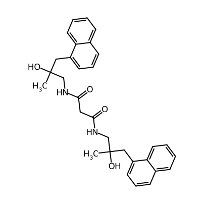 CC(O)(CNC(=O)CC(=O)NCC(C)(O)Cc1cccc2ccccc12)Cc1cccc2ccccc12